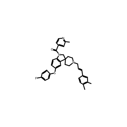 Cc1cc(C(=O)N2CC3(CCN(CC=Cc4ccc(C)c(C)c4)CC3)c3cc(Sc4ccc(F)cc4)ccc32)ccn1